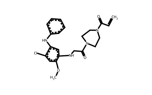 C=CC(=O)N1CCN(C(=O)CNc2cc(Nc3ccccc3)c(Cl)cc2OC)CC1